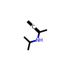 C=C=C(C)NC(C)C